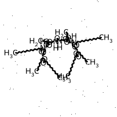 C=CCOP(=O)(OCCNC(=O)NCCOP(=O)(OCC=C)OC[C@H](COCC[C@@H](CCCCCCC)OC(=O)CCCCCCCCCCC)NC(=O)CCCCCCCCCCCCC)OC[C@@H](COCC[C@@H](CCCCCCC)OC(=O)CCCCCCCCCCC)NC(=O)CCCCCCCCCCCCC